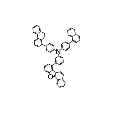 c1cc(-c2cccc3oc4c5ccccc5ccc4c23)cc(N(c2ccc(-c3cccc4ccccc34)cc2)c2ccc(-c3cccc4c3ccc3ccccc34)cc2)c1